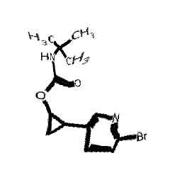 CC(C)(C)NC(=O)OC1CC1c1ccc(Br)nc1